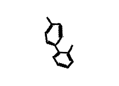 Cc1c[c]c(-c2ccccc2C)cc1